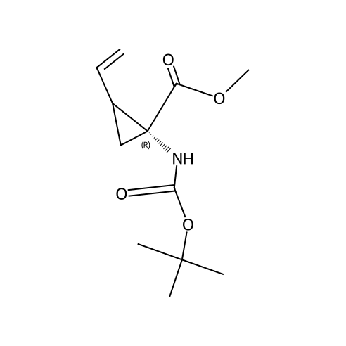 C=CC1C[C@]1(NC(=O)OC(C)(C)C)C(=O)OC